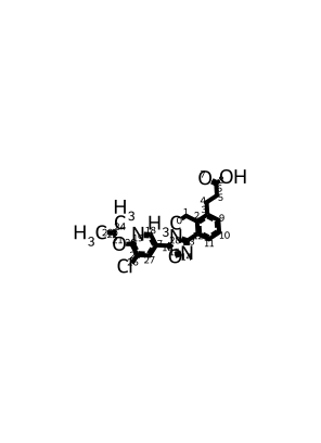 CCc1c(CCC(=O)O)cccc1-c1noc(-c2cnc(OC(C)C)c(Cl)c2)n1